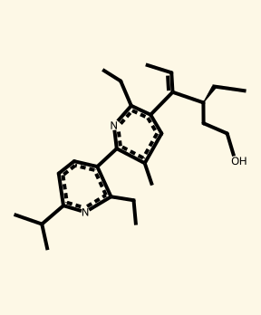 C/C=C(\c1cc(C)c(-c2ccc(C(C)C)nc2CC)nc1CC)[C@@H](CC)CCO